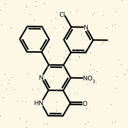 Cc1cc(-c2c(-c3ccccc3)nc3[nH]ccc(=O)c3c2[N+](=O)[O-])cc(Cl)n1